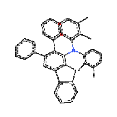 Cc1cccc(N(c2cccc(C)c2C)c2c3c(cc(-c4ccccc4)c2-c2ccccc2)-c2ccccc2C3)c1C